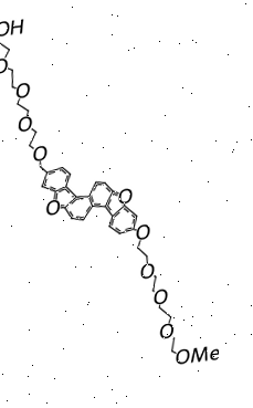 COCCOCCOCCOCCOc1ccc2c(c1)oc1ccc3c(ccc4oc5cc(COCCOCCOCCOCCO)ccc5c43)c12